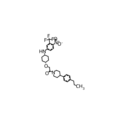 CCCc1ccc(C2CCN(C(=O)CO[C@H]3CC[C@H](Nc4ccc([N+](=O)[O-])c(C(F)(F)F)c4)CC3)CC2)cc1